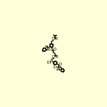 C=C(C)C(=O)OCCc1ccc(OC(=O)CCC(=O)OCCN(CC)c2ccc(C(=O)C(CC)(Cc3ccccc3)N(C)C)cc2)c(-n2nc3ccccc3n2)c1